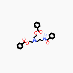 O=C(NCCCN(CCOC(=O)c1ccccc1)CCOC(=O)c1ccccc1)c1ccccc1